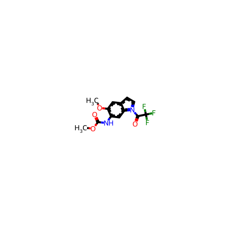 COC(=O)Nc1cc2c(ccn2C(=O)C(F)(F)F)cc1OC